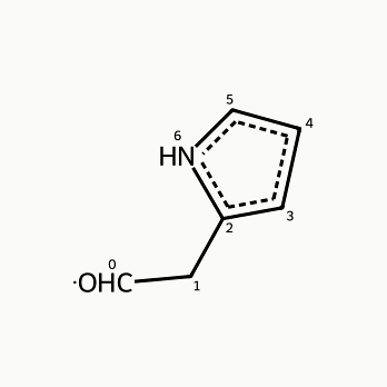 O=[C]Cc1ccc[nH]1